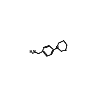 NCc1ccc(N2C[CH]CCC2)cc1